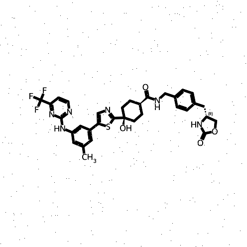 Cc1cc(Nc2nccc(C(F)(F)F)n2)cc(-c2cnc([C@]3(O)CC[C@@H](C(=O)NCc4ccc(C[C@@H]5COC(=O)N5)cc4)CC3)s2)c1